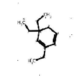 CCC1=[C]C(CC)(CC)CC=C1